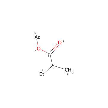 CCC(C)C(=O)OC(C)=O